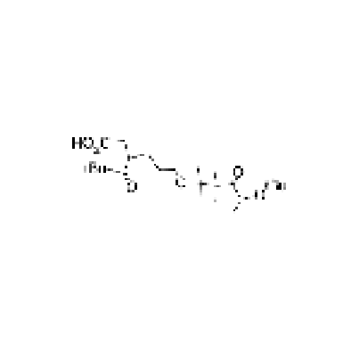 CC(OC(C)(C)C)C(=O)C(C)(C)C(C)(C)OCCCC(CC(=O)O)C(=O)C(C)(C)C